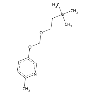 Cc1ccc(OCOCC[Si](C)(C)C)cn1